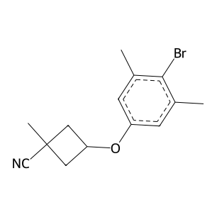 Cc1cc(OC2CC(C)(C#N)C2)cc(C)c1Br